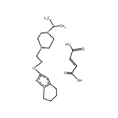 CC(C)N1CCN(CCOc2cc3n(n2)CCCC3)CC1.O=C(O)C=CC(=O)O